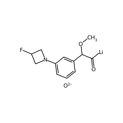 [Li][C](=O)C(OC)c1cccc(N2CC(F)C2)c1.[O-2]